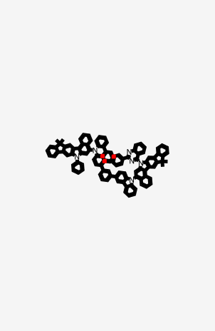 CC1(C)c2ccccc2-c2cc3c(cc21)c1c2ccccc2c(N(c2ccc(-c4cccc(-c5ccc6c(c5)c5ccccc5n6-c5cc6c(c7ccccc57)c5cc7c(cc5n6-c5nc(-c6ccccc6)nc6ccccc56)-c5ccccc5C7(C)C)c4)cc2)c2ccccc2-c2ccccc2)cc1n3-c1ccccc1